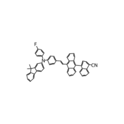 CC1(C)c2ccccc2-c2ccc(N(c3ccc(F)cc3)c3ccc(/C=C/c4c5ccccc5c(-c5ccc(C#N)c6ccccc56)c5ccccc45)cc3)cc21